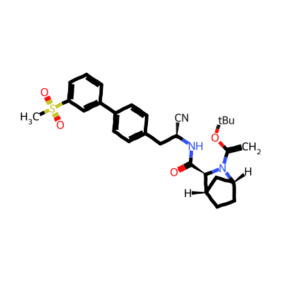 C=C(OC(C)(C)C)N1[C@@H]2CC[C@@H](C2)[C@H]1C(=O)N[C@H](C#N)Cc1ccc(-c2cccc(S(C)(=O)=O)c2)cc1